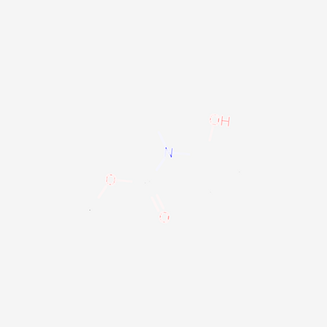 CN(C(=O)OC(C)(C)C)C1(O)CC1